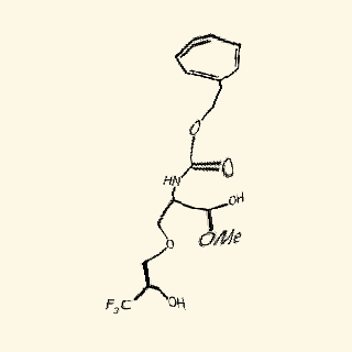 COC(O)C(COCC(O)C(F)(F)F)NC(=O)OCc1ccccc1